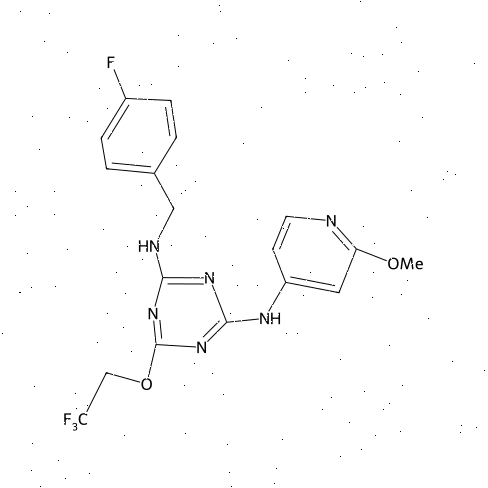 COc1cc(Nc2nc(NCc3ccc(F)cc3)nc(OCC(F)(F)F)n2)ccn1